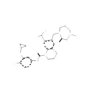 CN1CCCN(Cc2cc3c(nc2C(O)O)N(C(=O)Nc2cc(OC4CC4)c(C#N)cn2)CCC3)C(=O)C1